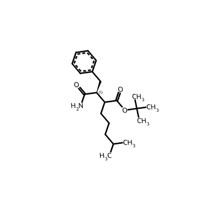 CC(C)CCCC(C(=O)OC(C)(C)C)[C@H](Cc1ccccc1)C(N)=O